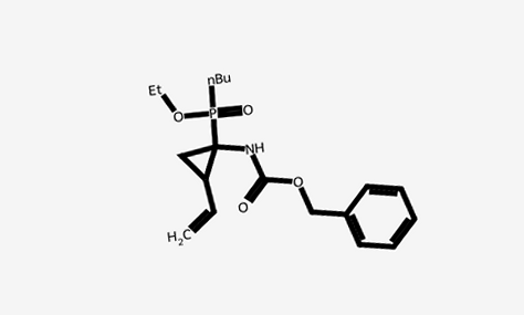 C=CC1CC1(NC(=O)OCc1ccccc1)P(=O)(CCCC)OCC